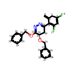 C=C1CC(F)=CC(F)=C1C1=NN=C(OCc2ccccc2)[C@@H](OCc2ccccc2)C1